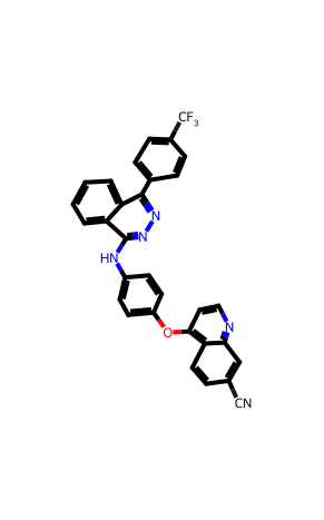 N#Cc1ccc2c(Oc3ccc(Nc4nnc(-c5ccc(C(F)(F)F)cc5)c5ccccc45)cc3)ccnc2c1